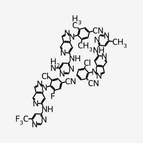 Cc1cc(C#N)cc(C)c1-n1ncc2cnc(Nc3cc(N)ncn3)cc21.Cc1cc(Nc2cc3c(cn2)cnn3-c2c(Cl)cccc2C#N)ncn1.N#Cc1cc(F)c(-n2ncc3cnc(Nc4cc(C(F)(F)F)ncn4)cc32)c(Cl)c1